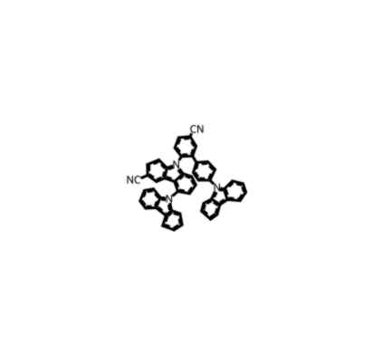 N#Cc1ccc(-n2c3ccc(C#N)cc3c3c(-n4c5ccccc5c5ccccc54)cccc32)c(-c2ccc(-n3c4ccccc4c4ccccc43)cc2)c1